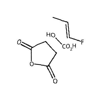 CC=CF.O=C(O)O.O=C1CCC(=O)O1